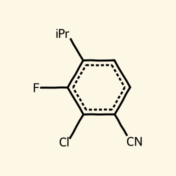 CC(C)c1ccc(C#N)c(Cl)c1F